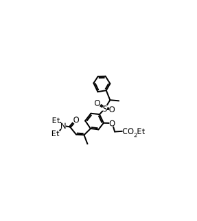 CCOC(=O)COc1cc(/C(C)=C\C(=O)N(CC)CC)ccc1S(=O)(=O)C(C)c1ccccc1